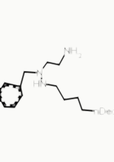 CCCCCCCCCCCCCCNN(CCN)Cc1ccccc1